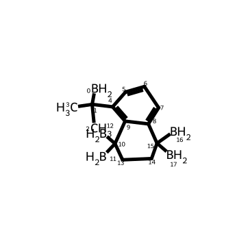 BC(C)(C)c1cccc2c1C(B)(B)CCC2(B)B